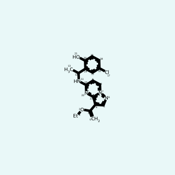 C=C(OCC)c1cnn2ccc(NC(C)c3cc(Cl)ccc3O)nc12